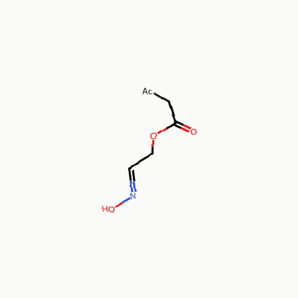 CC(=O)CC(=O)OCC=NO